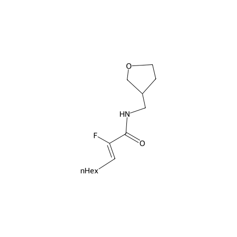 CCCCCCC=C(F)C(=O)NCC1CCOC1